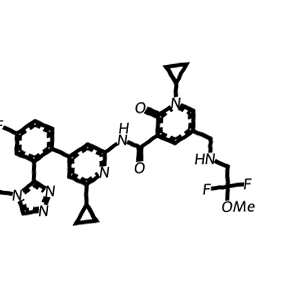 COC(F)(F)CNCc1cc(C(=O)Nc2cc(-c3ccc(F)cc3-c3nncn3C)cc(C3CC3)n2)c(=O)n(C2CC2)c1